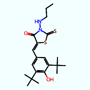 CCCNN1C(=O)C(=Cc2cc(C(C)(C)C)c(O)c(C(C)(C)C)c2)SC1=S